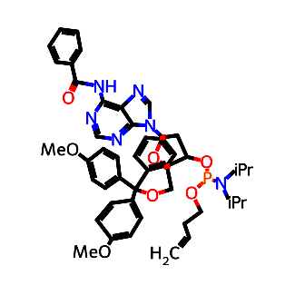 C=CCCOP(OC1CC(n2cnc3c(NC(=O)c4ccccc4)ncnc32)OC1COC(c1ccccc1)(c1ccc(OC)cc1)c1ccc(OC)cc1)N(C(C)C)C(C)C